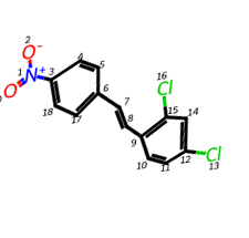 O=[N+]([O-])c1ccc(C=Cc2ccc(Cl)cc2Cl)cc1